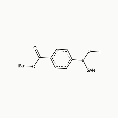 CSB(OI)c1ccc(C(=O)OC(C)(C)C)cc1